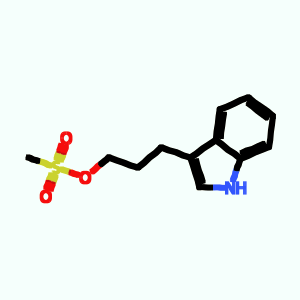 CS(=O)(=O)OCCCc1c[nH]c2ccccc12